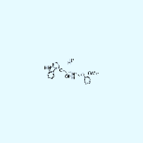 COc1ccccc1OCCNCC(O)COc1cccc2[nH]c3ccccc3c12.[H+].[H+]